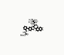 COC(=O)NCc1ccccc1-c1ccc(CN2C(=O)[C@H](NC(=O)C(C)(C)N)CSc3c2ccc2ccccc32)cc1